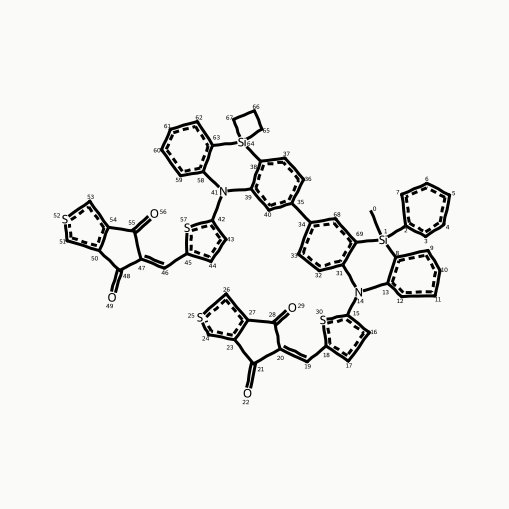 C[Si]1(c2ccccc2)c2ccccc2N(c2ccc(C=C3C(=O)c4cscc4C3=O)s2)c2ccc(-c3ccc4c(c3)N(c3ccc(C=C5C(=O)c6cscc6C5=O)s3)c3ccccc3[Si]43CCC3)cc21